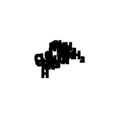 CCc1[nH]c2nc(Sc3cnc4c(N)nc(N)nc4c3)nc(OCCn3ccnc3)c2c1Cl